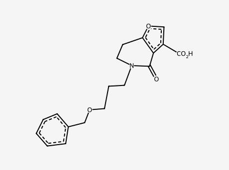 O=C(O)c1coc2c1C(=O)N(CCCOCc1ccccc1)CC2